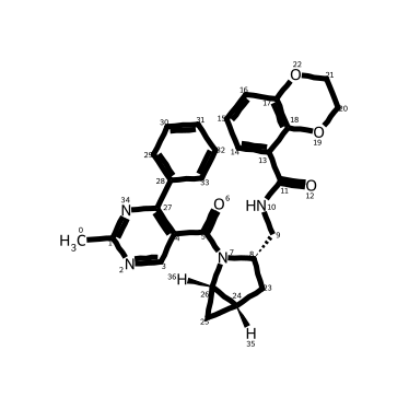 Cc1ncc(C(=O)N2[C@H](CNC(=O)c3cccc4c3OCCO4)C[C@@H]3C[C@@H]32)c(-c2ccccc2)n1